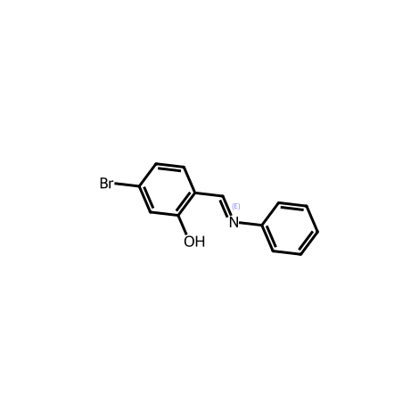 Oc1cc(Br)ccc1/C=N/c1ccccc1